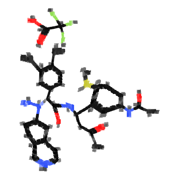 COC(=O)CC(NC(=O)[C@@H](c1ccc(OC)c(OC)c1)N(N)c1ccc2cnccc2c1)c1cc(NC(=O)OC)ccc1SC(C)C.O=C(O)C(F)(F)F